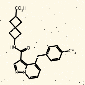 O=C(NC1CC2(C1)CC(C(=O)O)C2)c1cnn2cccc(Cc3ccc(C(F)(F)F)cc3)c12